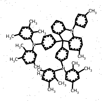 Cc1ccc(N2c3ccccc3C(c3ccc(N(c4cc(C)cc(C)c4C)c4cc(C)cc(C)c4C)cc3)(c3ccc(N(c4cc(C)cc(C)c4C)c4cc(C)cc(C)c4C)cc3)c3cc(C)ccc32)cc1